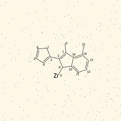 CC1=C(C2=CC=CC2)[CH]([Zr])c2cccc(C)c21